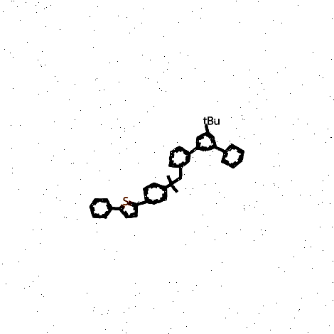 CC(C)(C)c1cc(-c2ccccc2)cc(-c2cccc(CC(C)(C)c3ccc(-c4ccc(-c5ccccc5)s4)cc3)c2)c1